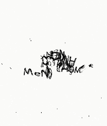 CNC(=O)c1cccc(-c2cc3c(cn2)nc(NCCOC)n3C)c1